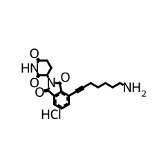 Cl.NCCCCCC#Cc1cccc2c1C(=O)N(C1CCC(=O)NC1=O)C2=O